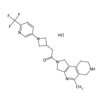 Cc1nc2c(c3c1CNCC3)CN(C(=O)CC1CN(c3ccc(C(F)(F)F)nc3)C1)C2.Cl